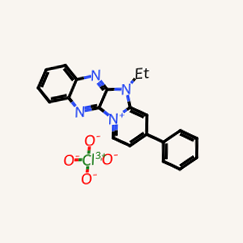 CCn1c2nc3ccccc3nc2[n+]2ccc(-c3ccccc3)cc12.[O-][Cl+3]([O-])([O-])[O-]